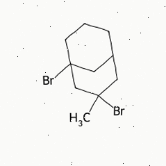 CC1(Br)CC2CCCC(Br)(C2)C1